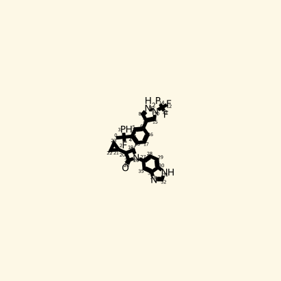 CC(F)(P)c1cc(-c2cnn(C(F)(F)P)c2)ccc1[C@H]1C(C2CC2)C(=O)N1c1ccc2[nH]cnc2c1